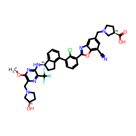 COc1nc(N[C@@H]2CCc3c(-c4cccc(-c5nc6cc(CN7CC[C@@H](C(=O)O)C7)cc(C#N)c6o5)c4Cl)cccc32)c(C(F)(F)F)nc1CN1CC[C@@H](O)C1